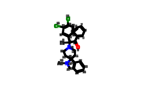 CCC(C(=O)c1ccccc1)(c1ccc(Cl)c(Cl)c1)N1CCC(c2ccccc2)(N(C)C(C)=O)CC1